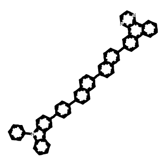 c1ccc(-n2c3ccccc3c3cc(-c4ccc(-c5ccc6cc(-c7ccc8cc(-c9ccc%10c%11ccccc%11c%11nccnc%11c%10c9)ccc8c7)ccc6c5)cc4)ccc32)cc1